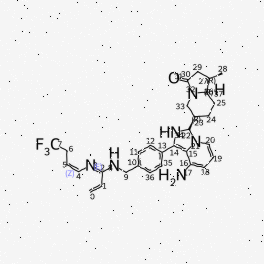 C=C/C(=N\C=C/CC(F)(F)F)NCc1ccc(C2=C3C(N)=CC=CN3C([C@@H]3CC[C@@H]4[C@H](C)CC(=O)N4C3)N2)cc1